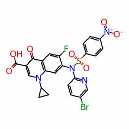 O=C(O)c1cn(C2CC2)c2cc(N(c3ccc(Br)cn3)S(=O)(=O)c3ccc([N+](=O)[O-])cc3)c(F)cc2c1=O